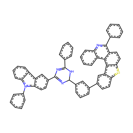 c1ccc(C2=NC(c3ccc4c(c3)c3ccccc3n4-c3ccccc3)=NC(c3cccc(-c4ccc5sc6ccc7c(-c8ccccc8)nc8ccccc8c7c6c5c4)c3)N2)cc1